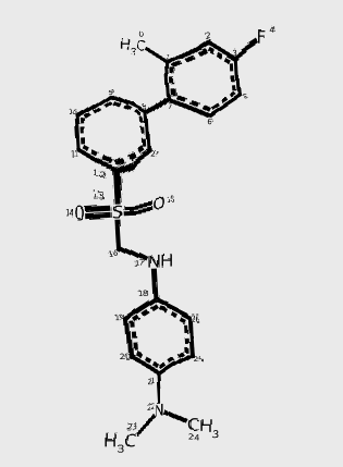 Cc1cc(F)ccc1-c1cccc(S(=O)(=O)CNc2ccc(N(C)C)cc2)c1